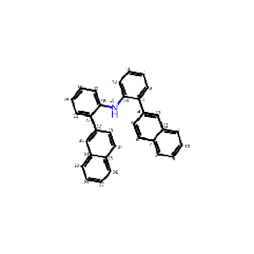 c1ccc(-c2ccc3ccccc3c2)c(Nc2ccccc2-c2ccc3ccccc3c2)c1